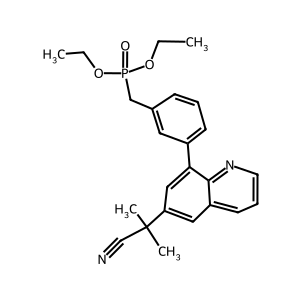 CCOP(=O)(Cc1cccc(-c2cc(C(C)(C)C#N)cc3cccnc23)c1)OCC